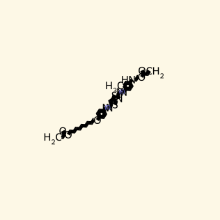 C=CC(=O)OCCCCCCCCCOc1ccc(/N=N/c2cc3sc(/N=N/c4ccc(NCCOC(=O)C=C)cc4C)nc3s2)cc1